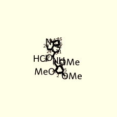 COc1cc(OC)c(CNC(=O)C2CSC34CC=CC=C3N=CCC24)c(OC)c1.Cl